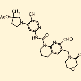 CO[C@]1(C)CCN(c2cc(NC(=O)N3CCCc4cc(CN5CCOCC5=O)c(C=O)nc43)ncc2C#N)C1